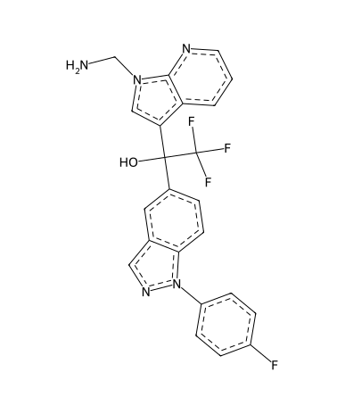 NCn1cc(C(O)(c2ccc3c(cnn3-c3ccc(F)cc3)c2)C(F)(F)F)c2cccnc21